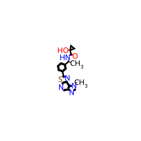 C[C@H](NC(=O)C1(O)CC1)c1cccc(-c2nc3c(ncc4ncn(C)c43)s2)c1